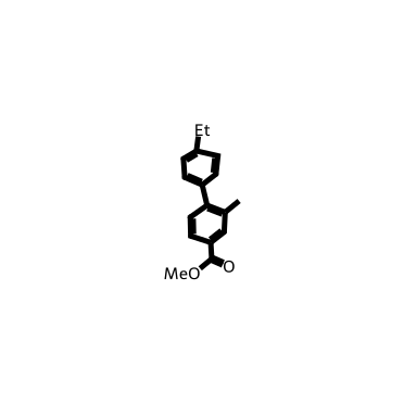 CCc1ccc(-c2ccc(C(=O)OC)cc2C)cc1